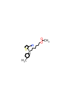 CC(=O)OCCCCCC[SiH](c1ccc(C)cc1)c1sccc1C#N